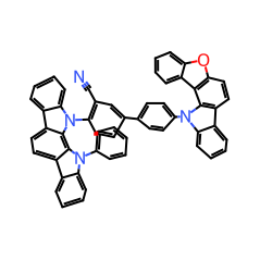 N#Cc1cc(-c2ccc(-n3c4ccccc4c4ccc5oc6ccccc6c5c43)cc2)ccc1-n1c2ccccc2c2ccc3c4ccccc4n(-c4ccccc4)c3c21